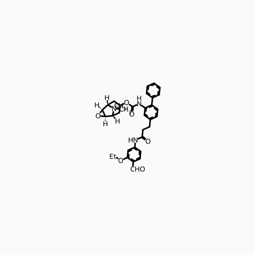 CCOc1cc(NC(=O)CCc2ccc(-c3ccccc3)c(NC(=O)OC3C[C@@H]4[C@H]5O[C@H]5[C@H](C3)[N+]4(C)C)c2)ccc1C=O